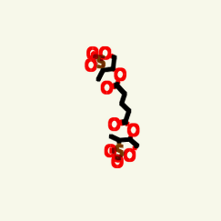 CC1C(OC(=O)CCCC(=O)OC2COS(=O)(=O)C2C)COS1(=O)=O